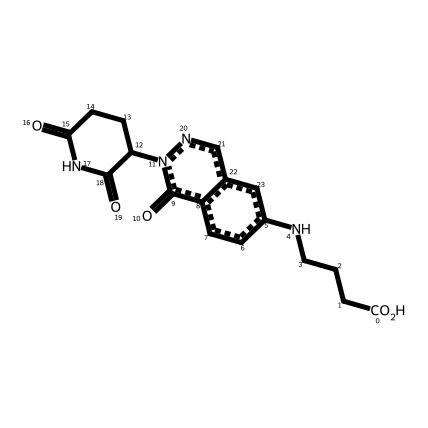 O=C(O)CCCNc1ccc2c(=O)n(C3CCC(=O)NC3=O)ncc2c1